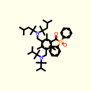 Cc1c(CN(C(C)(C)CC(C)C)C(C)(C)CC(C)C)c(C)c(C(=O)P(=O)(c2ccccc2)c2ccccc2)c(C)c1CN(C(C)(C)C(C)C)C(C)(C)C(C)C